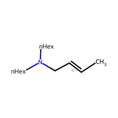 C/C=C/CN(CCCCCC)CCCCCC